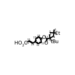 CCC(C)(C)CC(C)(C(=O)Oc1ccc(/C=C/C(=O)O)cc1)C(C)(C)C